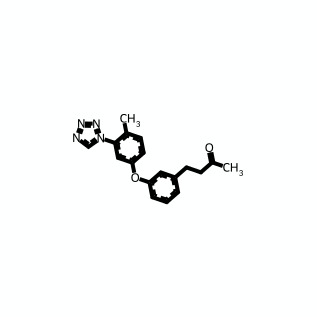 CC(=O)CCc1cccc(Oc2ccc(C)c(-n3cnnn3)c2)c1